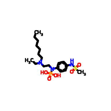 CCCCCCCN(CC)CCN(c1ccc(NS(C)(=O)=O)cc1)P(=O)(O)O